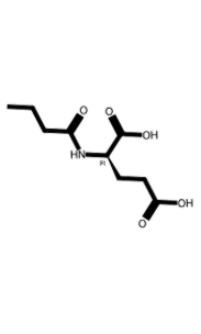 CCCC(=O)N[C@H](CCC(=O)O)C(=O)O